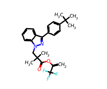 C=C(OC(=O)C(C)(C)Cn1nc(-c2ccc(C(C)(C)C)cc2)c2ccccc21)C(F)(F)F